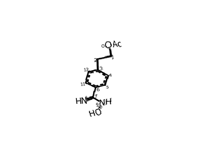 CC(=O)OCCc1ccc(C(=N)NO)cc1